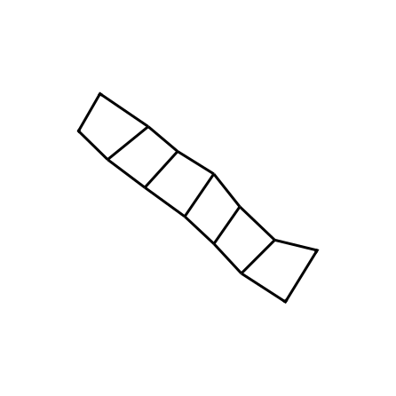 C1CC2C1C1C2C2C3C4CCC4C3C12